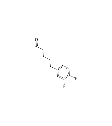 O=[C]CCCCc1ccc(F)c(F)c1